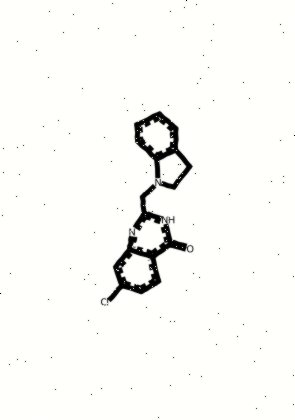 O=c1[nH]c(CN2CCc3ccccc32)nc2cc(Cl)ccc12